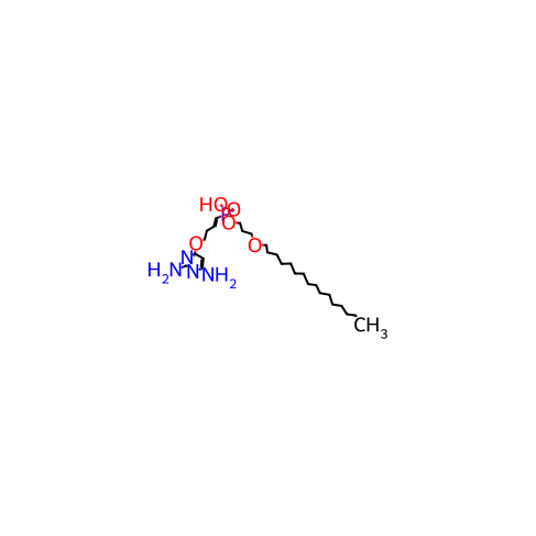 CCCCCCCCCCCCCCCCOCCCOP(=O)(O)/C=C/CCOc1cc(N)nc(N)n1